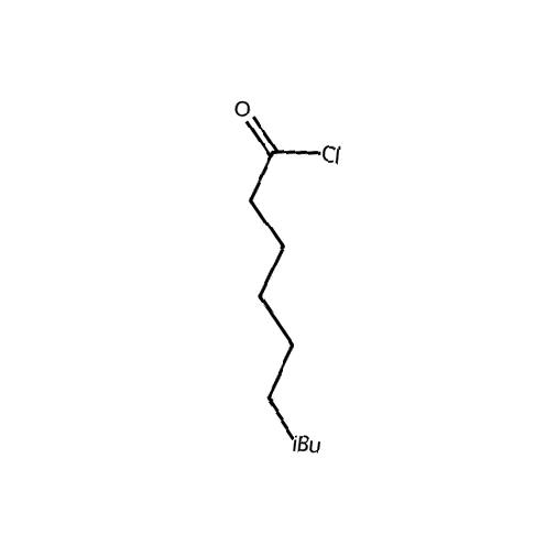 CCC(C)CCCCCC(=O)Cl